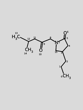 CCCC1CC(=O)N(CC(=O)CC(C)C)C1